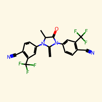 C=C1N(c2ccc(C#N)c(C(F)(F)F)c2)C(=O)C(C)N1c1ccc(C#N)c(C(F)(F)F)c1